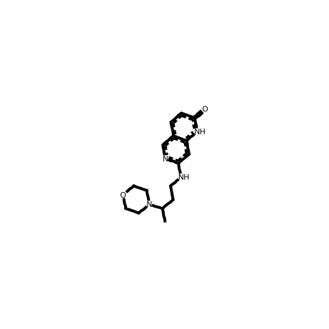 CC(CCNc1cc2[nH]c(=O)ccc2cn1)N1CCOCC1